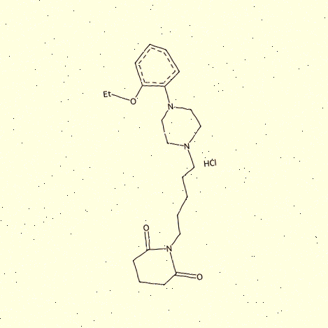 CCOc1ccccc1N1CCN(CCCCCN2C(=O)CCCC2=O)CC1.Cl